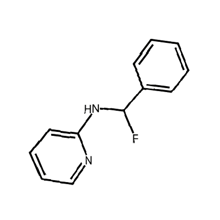 FC(Nc1ccccn1)c1ccccc1